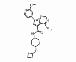 COc1cc(-c2cc(C(=O)N[C@H]3CC[C@H](OC4CCC4)CC3)c3c(N)ncnn23)ccn1